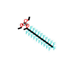 CCO[Si](OCC)OC(C)C(F)(F)C(F)(F)C(F)(F)C(F)(F)C(F)(F)C(F)(F)C(F)(F)C(F)(F)C(F)(F)C(F)(F)F